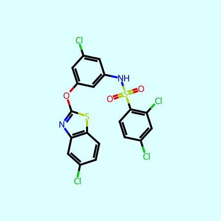 O=S(=O)(Nc1cc(Cl)cc(Oc2nc3cc(Cl)ccc3s2)c1)c1ccc(Cl)cc1Cl